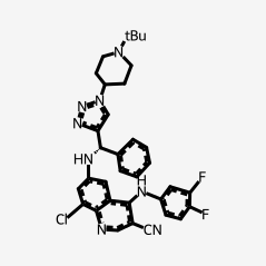 CC(C)(C)N1CCC(n2cc([C@@H](Nc3cc(Cl)c4ncc(C#N)c(Nc5ccc(F)c(F)c5)c4c3)c3ccccc3)nn2)CC1